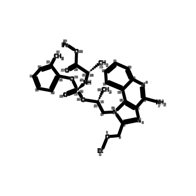 CCOCc1nc2c(N)nc3ccccc3c2n1C[C@@H](C)O[P@@](=O)(N[C@@H](C)C(=O)OC(C)C)Oc1ccccc1C